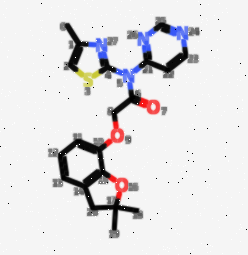 Cc1csc(N(C(=O)COc2cccc3c2OC(C)(C)C3)c2ccncn2)n1